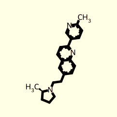 Cc1ccc(-c2ccc3cc(CCN4CCC[C@H]4C)ccc3n2)cn1